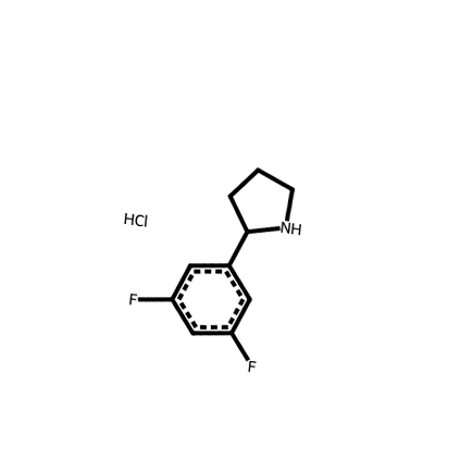 Cl.Fc1cc(F)cc(C2CCCN2)c1